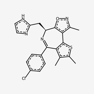 Cc1noc2c1-c1sc(C)c(C)c1C(c1ccc(Cl)cc1)=N[C@H]2Cc1ncc[nH]1